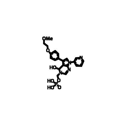 COCCOc1ccc(-c2cn(-c3cccnc3)c3c2C(O)N(COP(=O)(O)O)C=N3)cc1